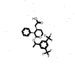 CC(O[C@H]1OCC[C@H](CC(=O)O)[C@@H]1c1ccccc1)c1cc(C(F)(F)F)cc(C(F)(F)F)c1